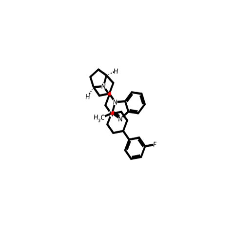 Cc1nc2ccccc2n1C1C[C@H]2CC[C@@H](C1)N2CCN1CCC(c2cccc(F)c2)CC1